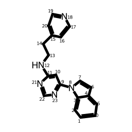 c1ccc2c(c1)ccn2-c1cc(NCCc2ccncc2)ncn1